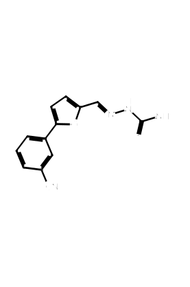 N#Cc1cccc(-c2ccc(C=NNC(N)=S)o2)c1